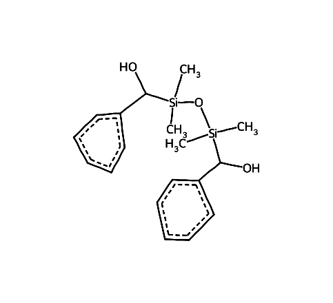 C[Si](C)(O[Si](C)(C)C(O)c1ccccc1)C(O)c1ccccc1